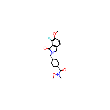 COc1ccc2c(c1F)C(=O)N(C[C@H]1CC[C@H](C(=O)N(C)OC)CC1)C2